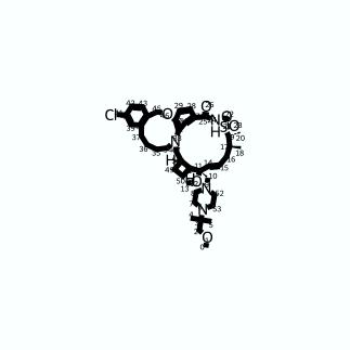 COCC(C)(C)N1CCN(C[C@@]2(OC)/C=C/C[C@H](C)[C@@H](C)S(=O)(=O)NC(=O)c3ccc4c(c3)N(CCCCc3cc(Cl)ccc3CO4)C[C@@H]3CC[C@H]32)CC1